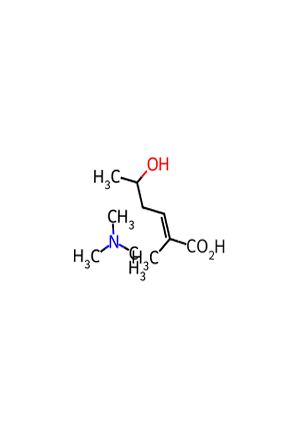 C/C(=C\CC(C)O)C(=O)O.CN(C)C